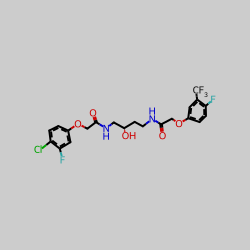 O=C(COc1ccc(F)c(C(F)(F)F)c1)NCC[C@H](O)CNC(=O)COc1ccc(Cl)c(F)c1